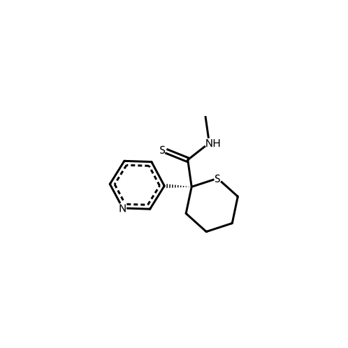 CNC(=S)[C@]1(c2cccnc2)CCCCS1